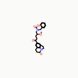 COC(CCC(=O)c1cc2c3c(c1)CCN3C(=O)CC2)CN(Cc1ccccc1)C(=O)O